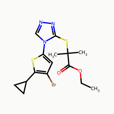 CCOC(=O)C(C)(C)Sc1nncn1-c1cc(Br)c(C2CC2)s1